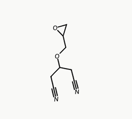 N#CCC(CC#N)OCC1CO1